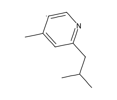 Cc1[c]cnc(CC(C)C)c1